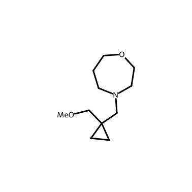 COCC1(CN2CCCOCC2)CC1